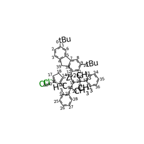 CC(C)(C)c1ccc2c(c1)-c1cc(C(C)(C)C)c[c]([Zr+2]([C]3=CC=CC3)=[C](C(C)(C)c3ccccc3)C(C)(C)c3ccccc3)c1C2.[Cl-].[Cl-]